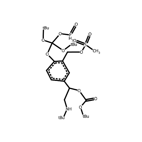 CC(C)(C)NCC(OC(=O)OC(C)(C)C)c1ccc(OC(O[PH2]=O)(OC(C)(C)C)OC(C)(C)C)c(COS(C)(=O)=O)c1